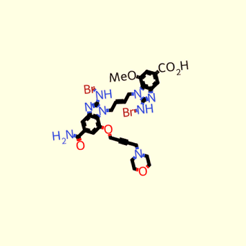 COc1cc(C(=O)O)cc2nc(NBr)n(CC=CCn3c(NBr)nc4cc(C(N)=O)cc(OCC#CCN5CCOCC5)c43)c12